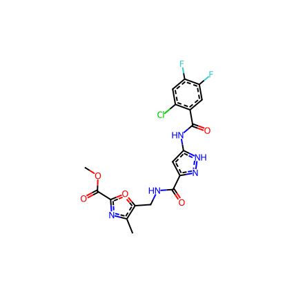 COC(=O)c1nc(C)c(CNC(=O)c2cc(NC(=O)c3cc(F)c(F)cc3Cl)[nH]n2)o1